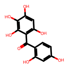 O=C(c1ccc(O)cc1O)c1c(O)cc(O)c(O)c1O